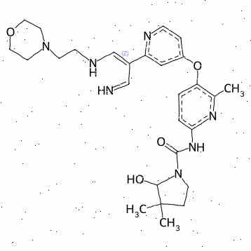 Cc1nc(NC(=O)N2CCC(C)(C)C2O)ccc1Oc1ccnc(/C(C=N)=C/NCCN2CCOCC2)c1